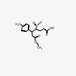 CCOC(=O)CC(c1ccc(C)cc1)C(CCC(=O)O)[N+](=O)[O-]